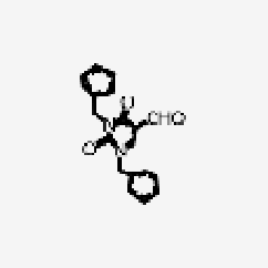 O=Cc1cn(Cc2ccccc2)c(=O)n(Cc2ccccc2)c1=O